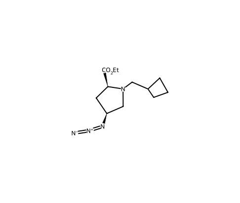 CCOC(=O)[C@@H]1C[C@H](N=[N+]=[N-])CN1CC1CCC1